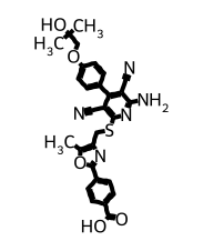 Cc1oc(-c2ccc(C(=O)O)cc2)nc1CSc1nc(N)c(C#N)c(-c2ccc(OCC(C)(C)O)cc2)c1C#N